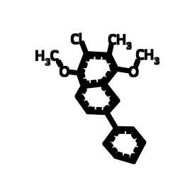 COc1c(C)c(Cl)c(OC)c2ccc(-c3ccccc3)cc12